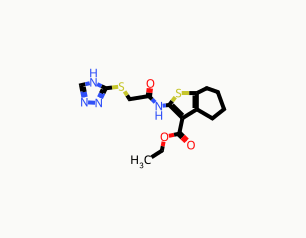 CCOC(=O)c1c(NC(=O)CSc2nnc[nH]2)sc2c1CCCC2